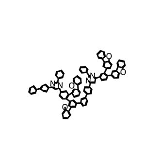 c1ccc(-c2ccc(-c3cc(-c4ccc(-c5cc(-c6cccc(-c7ccc(-c8cc(-c9ccc(-c%10ccc%11oc%12ccccc%12c%11c%10)c(-c%10ccc%11oc%12ccccc%12c%11c%10)c9)nc(-c9ccccc9)n8)cc7)c6)cc6c5oc5ccccc56)c(-c5cccc6c5oc5ccccc56)c4)nc(-c4ccccc4)n3)cc2)cc1